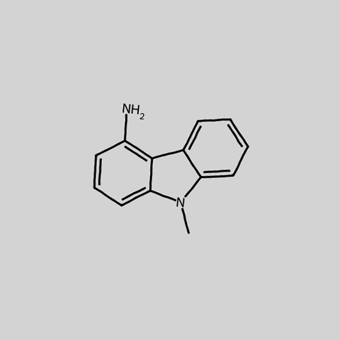 Cn1c2ccccc2c2c(N)cccc21